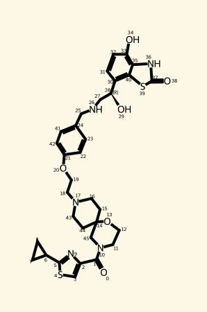 O=C(c1csc(C2CC2)n1)N1CCOC2(CCN(CCOc3ccc(CNC[C@H](O)c4ccc(O)c5[nH]c(=O)sc45)cc3)CC2)C1